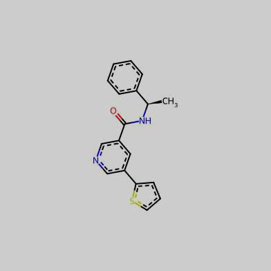 C[C@@H](NC(=O)c1cncc(-c2cccs2)c1)c1ccccc1